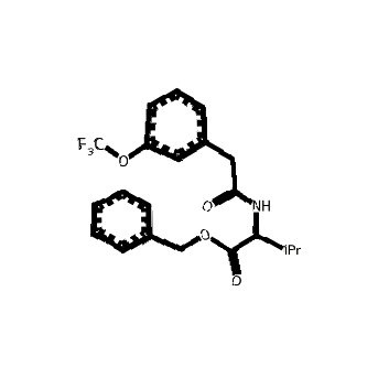 CC(C)C(NC(=O)Cc1cccc(OC(F)(F)F)c1)C(=O)OCc1ccccc1